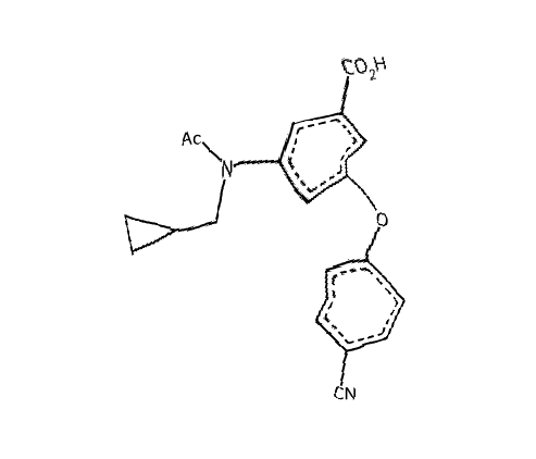 CC(=O)N(CC1CC1)c1cc(Oc2ccc(C#N)cc2)cc(C(=O)O)c1